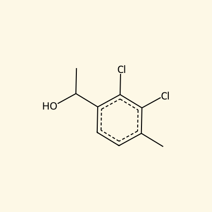 Cc1ccc(C(C)O)c(Cl)c1Cl